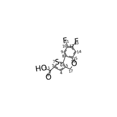 O=C(O)c1cc2c(s1)-c1cc(F)c(F)cc1OC2